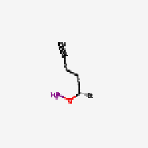 C#CCC[C@H](CC)OP